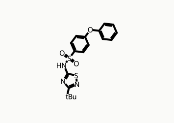 CC(C)(C)c1nsc(NS(=O)(=O)c2ccc(Oc3ccccc3)cc2)n1